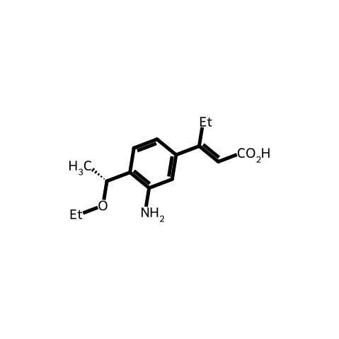 CCO[C@H](C)c1ccc(/C(=C/C(=O)O)CC)cc1N